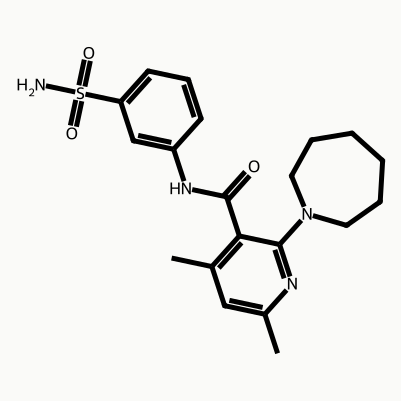 Cc1cc(C)c(C(=O)Nc2cccc(S(N)(=O)=O)c2)c(N2CCCCCC2)n1